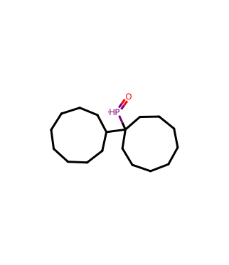 O=[PH]C1(C2CCCCCCCC2)CCCCCCCC1